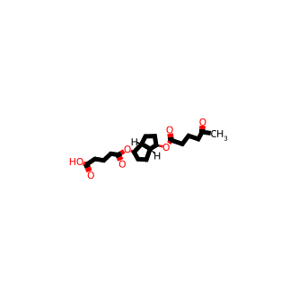 CC(=O)CCCC(=O)O[C@@H]1CC[C@H]2[C@@H]1CC[C@H]2OC(=O)CCCC(=O)O